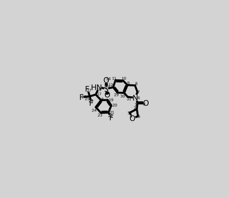 O=C(C1COC1)N1CCc2ccc(S(=O)(=O)NC(c3ccc(F)cc3)C(F)(F)F)cc2C1